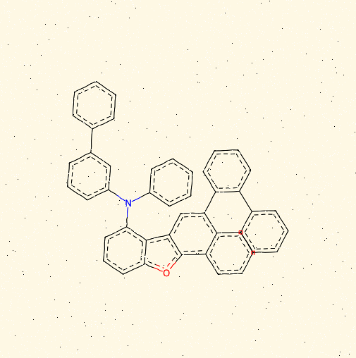 c1ccc(-c2cccc(N(c3ccccc3)c3cccc4oc5c6ccccc6c(-c6ccccc6-c6ccccc6)cc5c34)c2)cc1